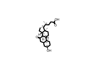 C[C@H](CCC(=O)O)[C@H]1CC[C@H]2[C@@H]3C(=O)CC4C[C@H](O)CC[C@]4(C)[C@H]3CC[C@]12C